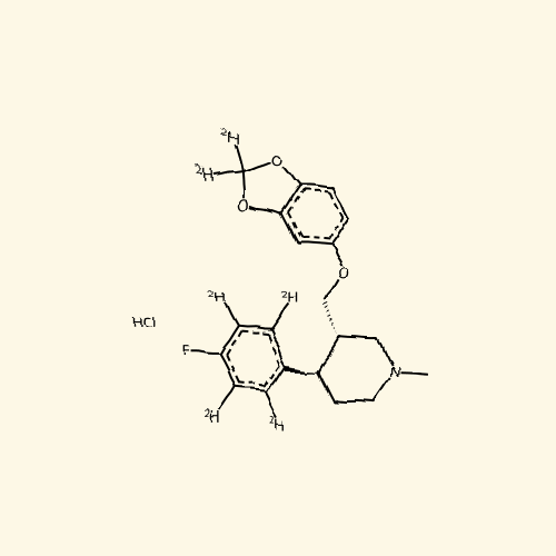 Cl.[2H]c1c([2H])c([C@@H]2CCN(C)C[C@H]2COc2ccc3c(c2)OC([2H])([2H])O3)c([2H])c([2H])c1F